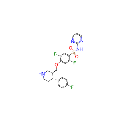 O=S(=O)(Nc1ncccn1)c1cc(F)c(OC[C@@H]2CNCC[C@H]2c2ccc(F)cc2)cc1F